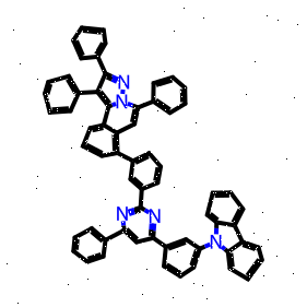 c1ccc(-c2cc(-c3cccc(-n4c5ccccc5c5ccccc54)c3)nc(-c3cccc(-c4cccc5c4cc(-c4ccccc4)n4nc(-c6ccccc6)c(-c6ccccc6)c54)c3)n2)cc1